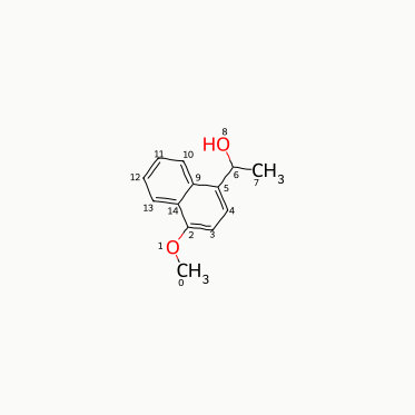 COc1ccc(C(C)O)c2ccccc12